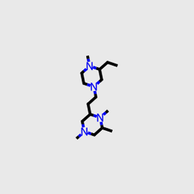 CCC1CN(CCC2CN(C)CC(C)N2C)CCN1C